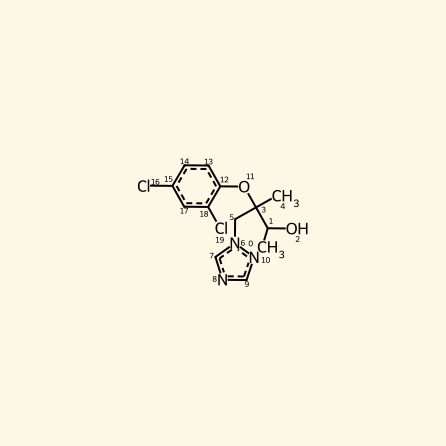 CC(O)C(C)(Cn1cncn1)Oc1ccc(Cl)cc1Cl